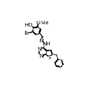 COc1cc(/C=N/Nc2ncnc3sc(Cc4ccccc4)cc23)cc(Br)c1O